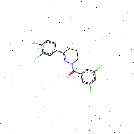 O=C(c1cc(Cl)cc(Cl)c1)N1CCCC(c2ccc(Cl)c(Cl)c2)=N1